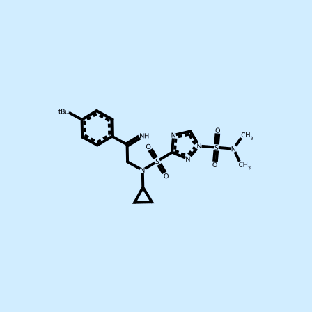 CN(C)S(=O)(=O)n1cnc(S(=O)(=O)N(CC(=N)c2ccc(C(C)(C)C)cc2)C2CC2)n1